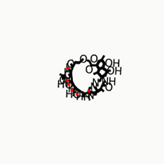 CO[C@H]1/C=C/O[C@@]2(C)Oc3c(C)c(O)c4c(O)c(c(/C=N/N5CCN(C)CC5)c(C)c4c3C2=O)NC(=O)/C(C)=C\C=C\[C@H](C)[C@H](O)[C@@H](C)[C@@H](O)[C@@H](C)[C@H](OC(C)=O)[C@@H]1C